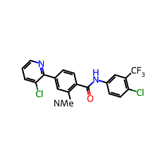 CNc1cc(-c2ncccc2Cl)ccc1C(=O)Nc1ccc(Cl)c(C(F)(F)F)c1